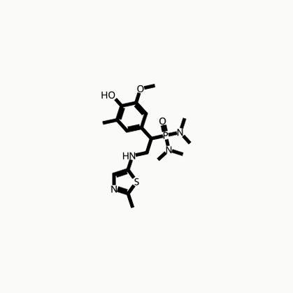 COc1cc(C(CNc2cnc(C)s2)P(=O)(N(C)C)N(C)C)cc(C)c1O